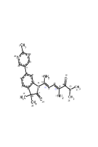 Cc1ncc(-c2ccc3c(c2)N(/C(N)=C/C=C(\N)C(=O)N(C)C)C(=O)C3(C)C)cn1